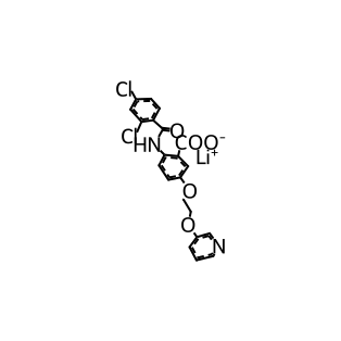 O=C(Nc1ccc(OCCOc2cccnc2)cc1C(=O)[O-])c1ccc(Cl)cc1Cl.[Li+]